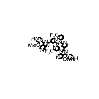 COc1cncc2nc(-c3ccnc(N(c4cccc(C(F)(F)F)n4)N(c4cc(-c5nc(N6CCNCC6)c6c(OC)cncc6n5)ccn4)c4cccc(C(F)(F)F)n4)c3)nc(N3CCNCC3)c12